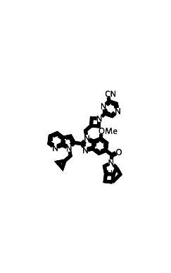 COc1cc(C(=O)N2CC3CC4CC2[C@H]43)cc2nc(-c3cc4cccnc4n3CC3CC3)n(CC3CN(c4cncc(C#N)n4)C3)c12